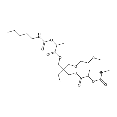 CCCCCNC(=O)OC(C)C(=O)OCC(CC)(COCCOC)COC(=O)C(C)OC(=O)NC